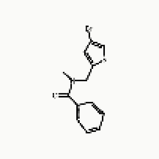 CN(Cc1cc(Br)cs1)C(=O)c1ccccc1